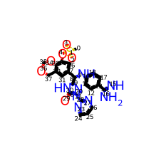 CS(=O)(=O)Oc1cc(C(Nc2ccc(C(=N)N)cc2)c2nn(-c3ncccn3)c(=O)[nH]2)cc2c1OCOC2